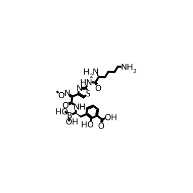 CO/N=C(\C(=O)N[C@@H](Cc1cccc(C(=O)O)c1O)B(O)O)c1csc(NC(=O)[C@@H](N)CCCCN)n1